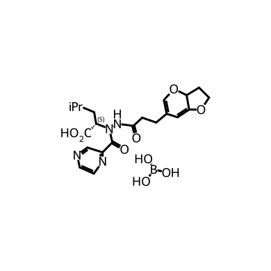 CC(C)C[C@@H](C(=O)O)N(NC(=O)CCC1=COC2CCOC2=C1)C(=O)c1cnccn1.OB(O)O